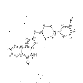 O=c1[nH]c2cc(CN3CCN(c4cccc(F)c4)CC3)cn2c2ccccc12